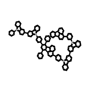 c1ccc(-c2cc(-c3ccc(-n4c5ccccc5c5cc(-c6ccc7c(c6)c6ccccc6n7-c6ccccc6)ccc54)cc3)c(-c3ccccc3)c3c2-c2ccc(-c4ccc(-n5c6ccccc6c6ccc(-c7ccc8c(c7)c7ccccc7n8-c7cccc(-c8ccc9c%10c(cccc8%10)-c8ccccc8-9)c7)cc65)cc4)c4cccc-3c24)cc1